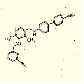 Cc1ncc(CNc2ccc(-c3ccc(C#N)cc3)cc2)c(C)c1OCc1cccc(C#N)c1